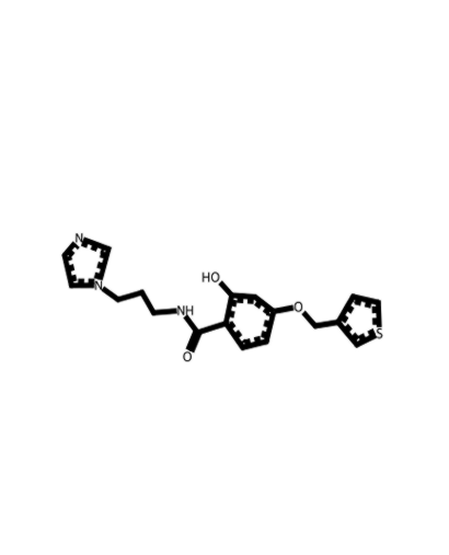 O=C(NCCCn1ccnc1)c1ccc(OCc2ccsc2)cc1O